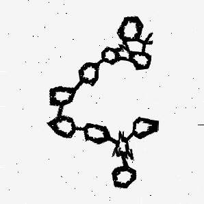 CC1(C)c2ccccc2-n2c3ccc(-c4ccc(-c5cccc(-c6cccc(-c7ccc(-c8nc(-c9ccccc9)nc(-c9ccccc9)n8)cc7)c6)c5)cc4)cc3c3cccc1c32